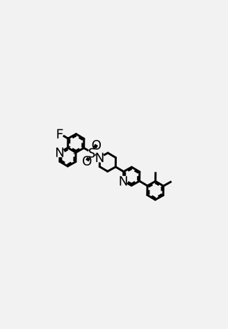 Cc1cccc(-c2ccc(C3CCN(S(=O)(=O)c4ccc(F)c5ncccc45)CC3)nc2)c1C